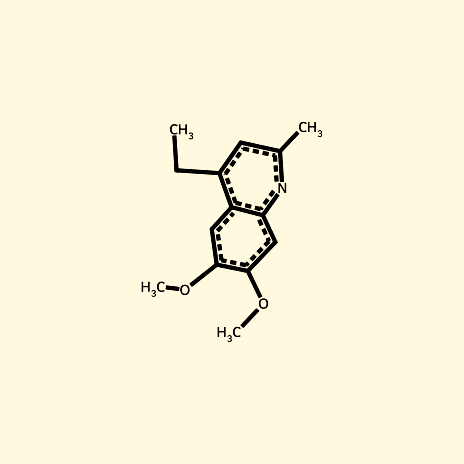 CCc1cc(C)nc2cc(OC)c(OC)cc12